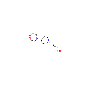 OCCCN1CCC(N2CCOCC2)CC1